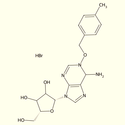 Br.Cc1ccc(CON2C=Nc3c(ncn3[C@@H]3O[C@H](CO)C(O)C3O)C2N)cc1